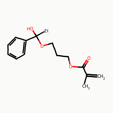 C=C(C)C(=O)OCCCOC(O)(CC)c1ccccc1